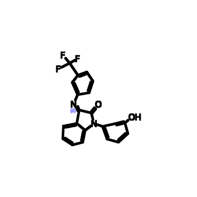 O=C1/C(=N\c2cccc(C(F)(F)F)c2)c2ccccc2N1c1cccc(O)c1